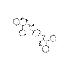 CC(C)/N=C(/NCc1ccc(/N=C(\NC(C)C)P(c2ccccc2)c2ccccc2)cc1)P(c1ccccc1)c1ccccc1